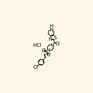 Cl.O=C(c1nc2c(s1)CNCC2)N1CCN(S(=O)(=O)C=Cc2ccc(Cl)cc2)CC1